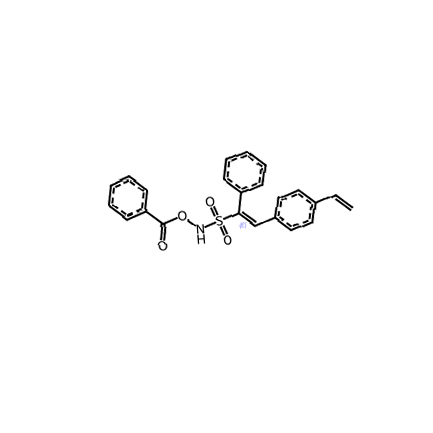 C=Cc1ccc(/C=C(\c2ccccc2)S(=O)(=O)NOC(=O)c2ccccc2)cc1